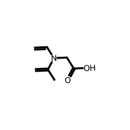 C=CN(CC(=O)O)C(=C)C